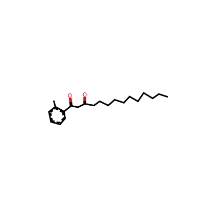 CCCCCCCCCCCC(=O)CC(=O)c1ccccc1C